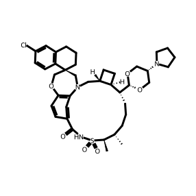 C[C@@H]1[C@@H](C)CCC[C@@H]([C@H]2OC[C@@H](N3CCCC3)CO2)[C@@H]2CC[C@H]2CN2C[C@@]3(CCCc4cc(Cl)ccc43)COc3ccc(cc32)C(=O)NS1(=O)=O